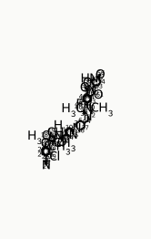 CC1CN(CC2CCN(c3ccc(C(=O)N[C@H]4C(C)(C)[C@H](Oc5ccc(C#N)c(Cl)c5)C4(C)C)cn3)CC2)CC(C)N1c1cc2c(cc1F)C(=O)N(C1CCC(=O)NC1=O)C2=O